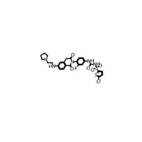 O=C(Nc1ccc(N2C(=O)Cc3cc(NCCN4CCCC4)ccc3C2=O)c(F)c1)NS(=O)(=O)c1ccc(Cl)s1